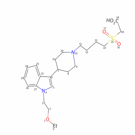 CCOCCn1cc(C2CCN(CCCCS(=O)(=O)CC(=O)O)CC2)c2ccccc21